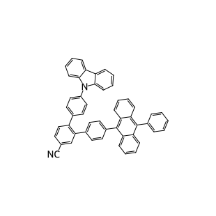 N#Cc1ccc(-c2ccc(-n3c4ccccc4c4ccccc43)cc2)c(-c2ccc(-c3c4ccccc4c(-c4ccccc4)c4ccccc34)cc2)c1